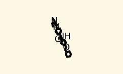 CN(C)C1CCN(c2ccc(NC(=O)c3ccc(OCC4CCCCC4)cc3)cc2)C1